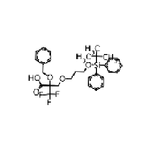 CC(C)(C)[Si](OCCCOCC(OCc1ccccc1)(C(=O)O)C(F)(F)F)(c1ccccc1)c1ccccc1